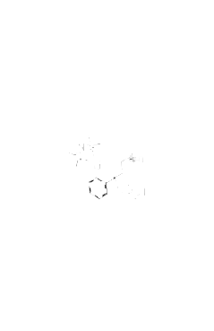 CC[C@H](C)CCC(C)(C(=O)O)c1ccccc1.C[Si](C)(C)[N-][Si](C)(C)C.[Li+]